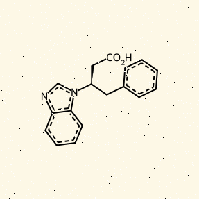 O=C(O)C[C@@H](Cc1ccccc1)n1cnc2ccccc21